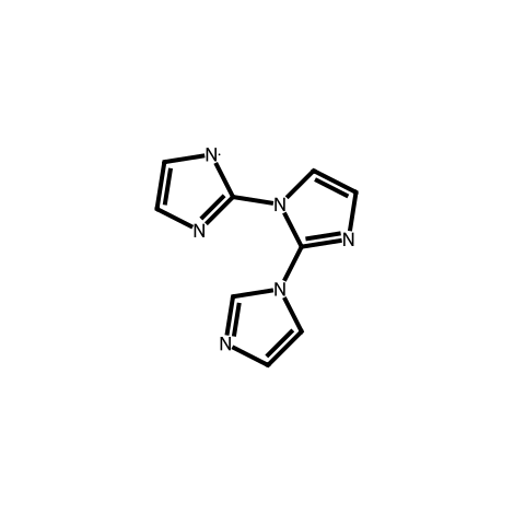 C1=CN=C(n2ccnc2-n2ccnc2)[N]1